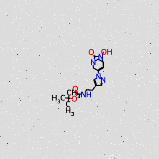 CC(C)(C)OC(=O)NCCc1cnn(C2=CC3CN(C2)C(=O)N3O)c1